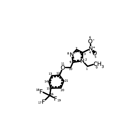 CCn1c([N+](=O)[O-])cnc1COc1ccc(C(F)(F)F)cc1